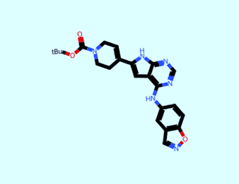 CC(C)(C)OC(=O)N1CC=C(c2cc3c(Nc4ccc5oncc5c4)ncnc3[nH]2)CC1